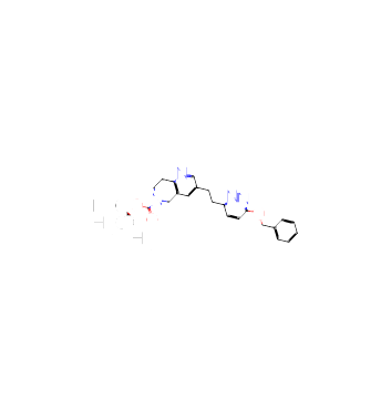 CC(C)(C)OC(=O)N1CCc2ncc(CCc3ccc(OCc4ccccc4)nn3)cc2C1